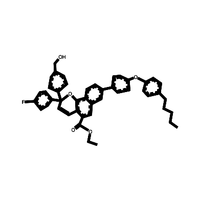 CCCCCc1ccc(Oc2ccc(-c3ccc4c5c(c(C(=O)OCC)cc4c3)C=CC(c3ccc(F)cc3)(c3ccc(CO)cc3)O5)cc2)cc1